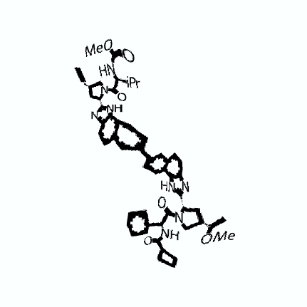 C=C[C@H]1C[C@@H](c2nc3ccc4cc(-c5ccc6c(ccc7nc([C@@H]8C[C@H](C(=C)OC)CN8C(=O)[C@H](NC(=O)C8CCC8)c8ccccc8)[nH]c76)c5)ccc4c3[nH]2)N(C(=O)[C@@H](NC(=O)OC)C(C)C)C1